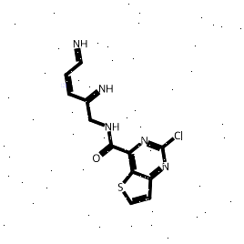 N=C/C=C\C(=N)CNC(=O)c1nc(Cl)nc2ccsc12